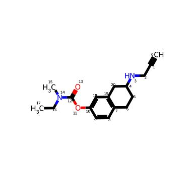 C#CCNC1CCc2ccc(OC(=O)N(C)CC)cc2C1